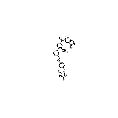 CCn1nccc1CN(C)C(=O)c1ccc(-c2cccc(COc3ccc(Cn4oc(=O)[nH]c4=O)cc3)c2)c(C)c1